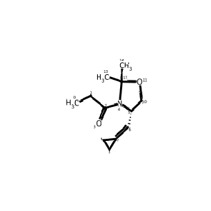 CCC(=O)N1[C@@H](C=C2CC2)COC1(C)C